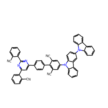 N#Cc1ccccc1-c1cc(-c2ccc(-c3c(C#N)cc(-n4c5ccccc5c5cc(-n6c7ccccc7c7ccccc76)ccc54)cc3C#N)cc2)nc(-c2ccccc2C#N)n1